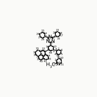 Cc1cc(-c2cccc(-c3cc(-c4nc(-c5ccccc5)nc(-c5ccccc5)n4)cc(-c4cc5cccc6ccc7cccc4c7c65)c3)c2)ccn1